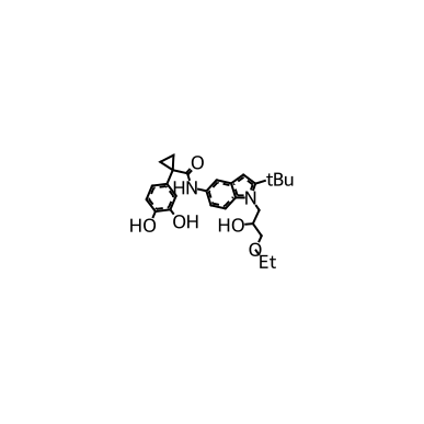 CCOCC(O)Cn1c(C(C)(C)C)cc2cc(NC(=O)C3(c4ccc(O)c(O)c4)CC3)ccc21